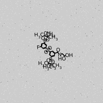 CC1(C)OB(c2cc(F)cc(S(=O)(=O)c3cc(B4OC(C)(C)C(C)(C)O4)cc(C(=O)NCC(=O)O)c3)c2)OC1(C)C